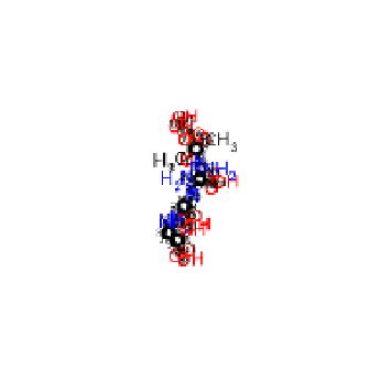 COc1cc(S(=O)(=O)COS(=O)(=O)O)c(OC)cc1/N=N/c1c(N)c(/N=N/c2ccc(/N=N/c3c(N)ccc4cc(S(=O)(=O)O)cc(O)c34)c(S(=O)(=O)O)c2)cc(S(=O)(=O)O)c1N